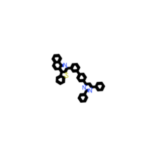 c1ccc(-c2cc(-c3ccc(-c4cccc(-c5nc6c7ccccc7ccc6c6c5sc5ccccc56)c4)cc3)nc(-c3ccccc3)n2)cc1